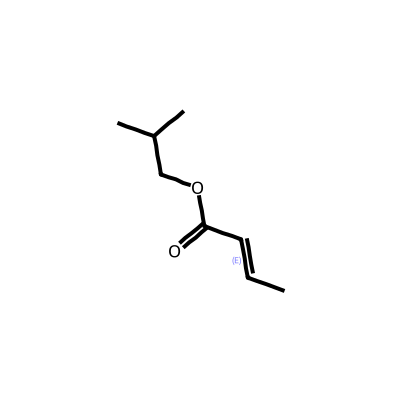 C/C=C/C(=O)OCC(C)C